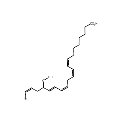 CC/C=C\CC(/C=C/C=C\C/C=C\C=C/CCCCCCC(=O)O)OO